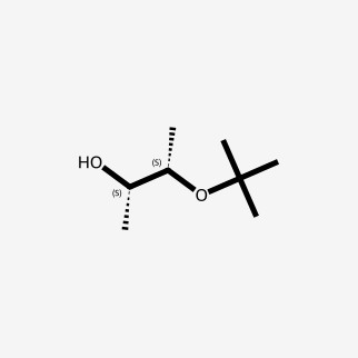 C[C@H](O)[C@H](C)OC(C)(C)C